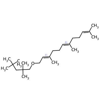 CC(C)=CCC/C(C)=C/CC/C(C)=C/COCC(C)(C)CC(C)(C)C